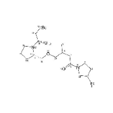 CCC1CCN(C(=O)CC(C)COC[C@@H]2CCCN2C(=O)CC(C)(C)C)C1